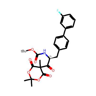 CC(C)(C)OC(=O)N[C@@H](Cc1ccc(-c2cccc(F)c2)cc1)C(=O)C1(C)C(=O)OC(C)(C)OC1=O